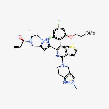 C=CC(=O)N1Cc2cc(-c3nc(N4CCc5nn(C)cc5C4)c4ccsc4c3-c3c(F)cc(F)cc3OCCOC)nn2C[C@H]1C